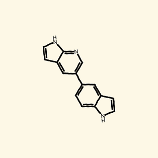 c1cc2cc(-c3cnc4[nH]ccc4c3)ccc2[nH]1